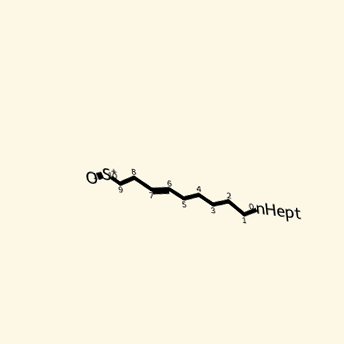 CCCCCCCCCCCCC=CCC[S+]=O